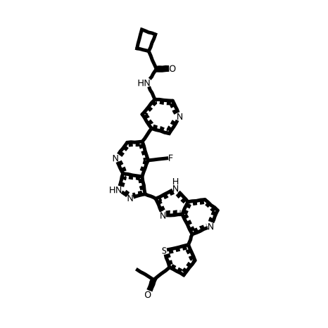 CC(=O)c1ccc(-c2nccc3[nH]c(-c4n[nH]c5ncc(-c6cncc(NC(=O)C7CCC7)c6)c(F)c45)nc23)s1